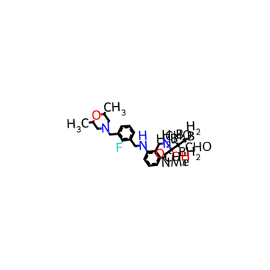 BC(B)(C=O)C(B)(B)C(O)(C(=O)NC)N(C=O)Cc1c(C)cccc1NCc1cccc(CN2CC(C)OC(C)C2)c1F